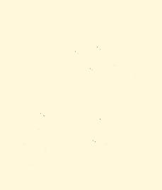 c1ccc(-c2cc(-c3cccc(-c4cccc(-c5nc(-c6ccccc6)nc(-c6ccccc6)n5)c4)c3)nc(-c3ccc4c(c3)c3c5ccccc5ccc3n4-c3ccccc3)n2)cc1